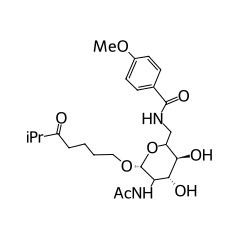 COc1ccc(C(=O)NCC2O[C@@H](OCCCCC(=O)C(C)C)C(NC(C)=O)[C@@H](O)[C@@H]2O)cc1